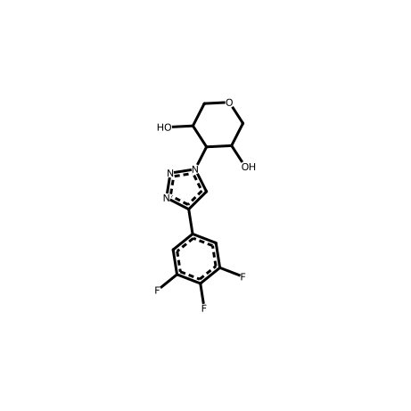 OC1COCC(O)C1n1cc(-c2cc(F)c(F)c(F)c2)nn1